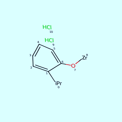 CC(C)c1ccccc1[O][Zr].Cl.Cl